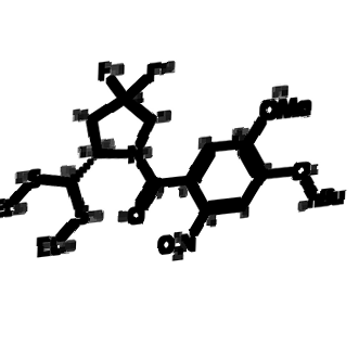 CCCCOc1cc([N+](=O)[O-])c(C(=O)N2CC(F)(F)C[C@H]2C(SCC)SCC)cc1OC